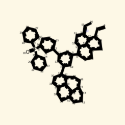 C=Cc1ccc2ccc(-c3cc(-c4cccc(P(=O)(c5ccccc5)c5ccccc5)c4)cc(-c4ccc5ccc6cccc7ccc4c5c67)c3)c3cc/c(=C/C)c1c23